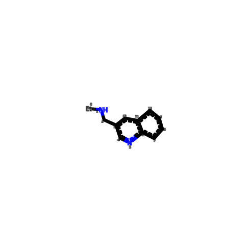 CCNCc1cnc2ccccc2c1